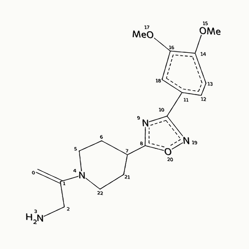 C=C(CN)N1CCC(c2nc(-c3ccc(OC)c(OC)c3)no2)CC1